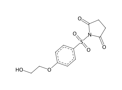 O=C1CCC(=O)N1S(=O)(=O)c1ccc(OCCO)cc1